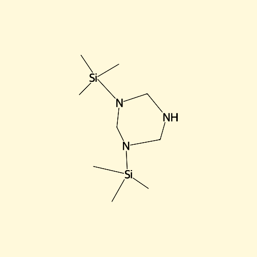 C[Si](C)(C)N1CNCN([Si](C)(C)C)C1